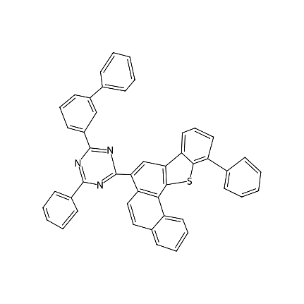 c1ccc(-c2cccc(-c3nc(-c4ccccc4)nc(-c4cc5c6cccc(-c7ccccc7)c6sc5c5c4ccc4ccccc45)n3)c2)cc1